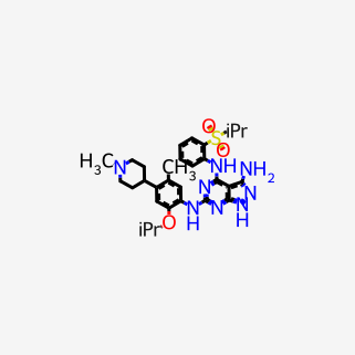 Cc1cc(Nc2nc(Nc3ccccc3S(=O)(=O)C(C)C)c3c(N)n[nH]c3n2)c(OC(C)C)cc1C1CCN(C)CC1